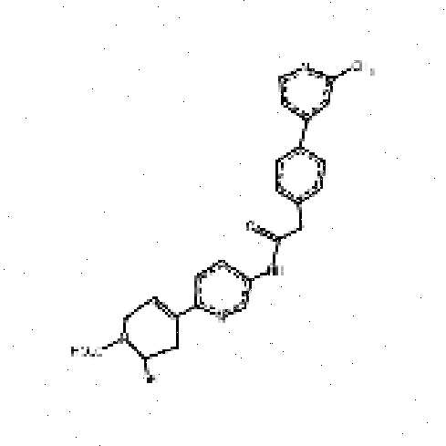 Cc1cc(-c2ccc(CC(=O)Nc3ccc(C4=CCN(C(=O)O)C(C(C)C)C4)nc3)cc2)ccn1